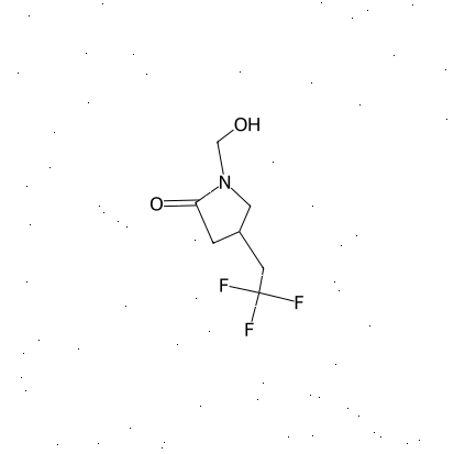 O=C1CC(CC(F)(F)F)CN1CO